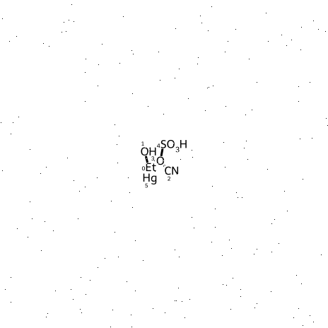 CCO.N#COS(=O)(=O)O.[Hg]